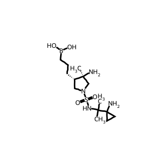 CC(C)(NS(=O)(=O)N1C[C@H](CCCB(O)O)[C@@](C)(N)C1)C1(N)CC1